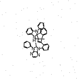 CC1N(c2ccccc2)c2nccnc2N1c1ccccc1C1=CC2(C)C1(C)c1ccccc1C21Nc2ccccc2N1c1ccccc1